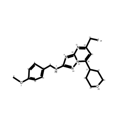 COc1ccc(CNc2nc3nc(CF)cc(C4CCOCC4)n3n2)cc1